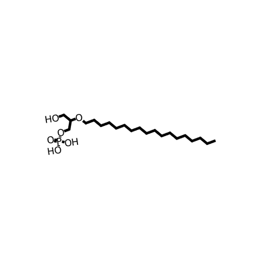 CCCCCCCCCCCCCCCCCCOC(CO)COP(=O)(O)O